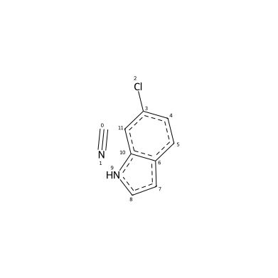 C#N.Clc1ccc2cc[nH]c2c1